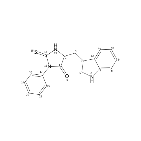 O=C1C(CC2CNc3ccccc32)NC(=S)N1c1ccccc1